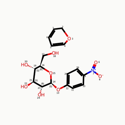 C1=CCOC=C1.O=[N+]([O-])c1ccc(O[C@@H]2O[C@H](CO)[C@@H](O)[C@H](O)[C@H]2O)cc1